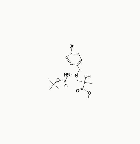 COC(=O)C(C)(O)CN(Cc1ccc(Br)cc1)NC(=O)OC(C)(C)C